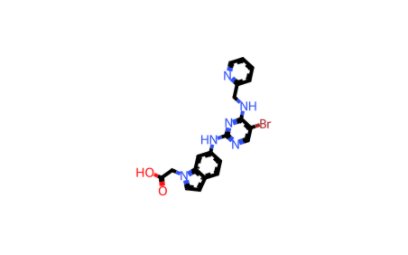 O=C(O)Cn1ccc2ccc(Nc3ncc(Br)c(NCc4ccccn4)n3)cc21